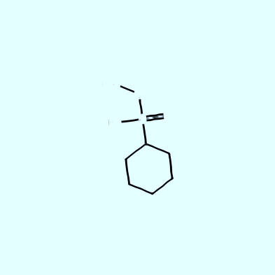 COP(=S)(S)C1CCCCC1